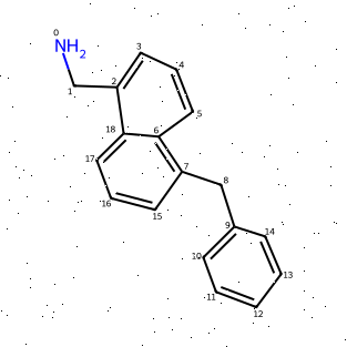 NCc1cccc2c(Cc3ccccc3)cccc12